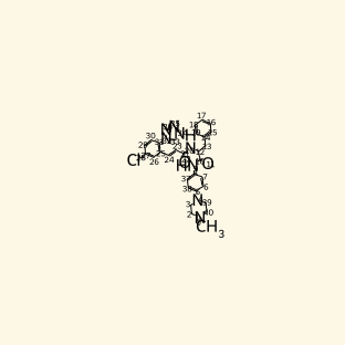 CN1CCN(c2ccc(NC(=O)C(Cc3ccccc3)NC(=O)C=Cc3cc(Cl)ccc3-n3cnnn3)cc2)CC1